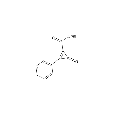 COC(=O)c1c(-c2ccccc2)c1=O